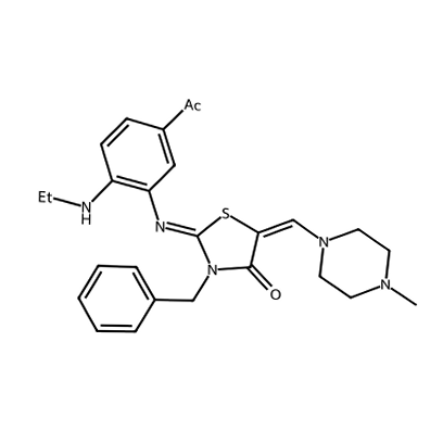 CCNc1ccc(C(C)=O)cc1N=C1SC(=CN2CCN(C)CC2)C(=O)N1Cc1ccccc1